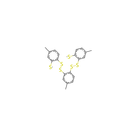 Cc1ccc(SSc2cc(C)ccc2SSc2cc(C)ccc2[S])c([S])c1